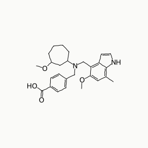 COc1cc(C)c2[nH]ccc2c1CN(Cc1ccc(C(=O)O)cc1)C1CCCCC(OC)C1